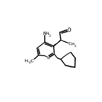 Cc1cc(N)c(C(C)C=O)c(C2CCCC2)n1